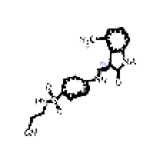 Cc1cccc2c1/C(=C/Nc1ccc(S(=O)(=O)NCCO)cc1)C(=O)N2